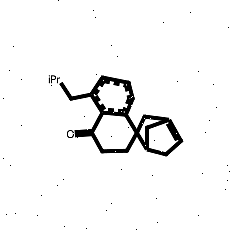 CC(C)Cc1cccc2c1C(=O)CCC21CC2=CCC1C2